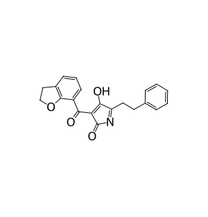 O=C1N=C(CCc2ccccc2)C(O)=C1C(=O)c1cccc2c1OCC2